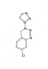 Clc1ccc2c(c1)N=NN(n1ccnn1)C2